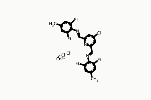 CCc1cc(C)cc(CC)c1N=Cc1cc(Cl)cc(C=Nc2c(CC)cc(C)cc2CC)n1.[Cl-].[Cl-].[Cl-].[Co+3]